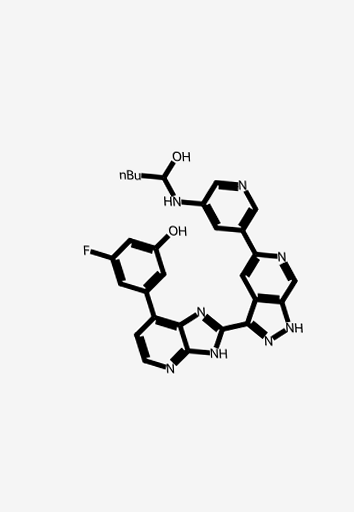 CCCCC(O)Nc1cncc(-c2cc3c(-c4nc5c(-c6cc(O)cc(F)c6)ccnc5[nH]4)n[nH]c3cn2)c1